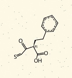 O=C(O)[C@H](CCc1ccccc1)C(=O)C=S